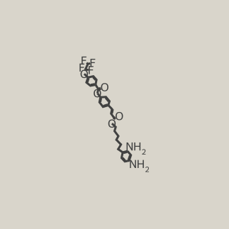 Nc1ccc(CCCCCCOC(=O)/C=C/c2ccc(OC(=O)c3ccc(OC(F)(F)C(F)F)cc3)cc2)c(N)c1